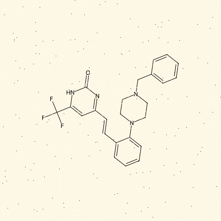 O=c1nc(/C=C/c2ccccc2N2CCN(Cc3ccccc3)CC2)cc(C(F)(F)F)[nH]1